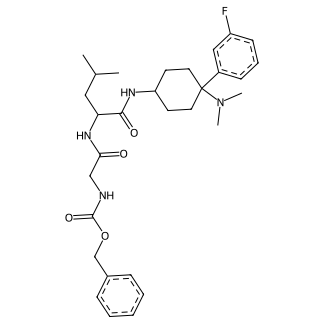 CC(C)CC(NC(=O)CNC(=O)OCc1ccccc1)C(=O)NC1CCC(c2cccc(F)c2)(N(C)C)CC1